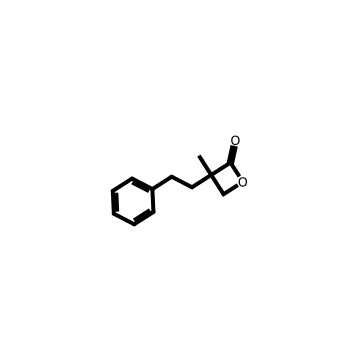 CC1(CCc2ccccc2)COC1=O